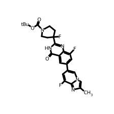 Cc1cn2cc(-c3cc(F)c4nc(C5(F)CCN(C(=O)OC(C)(C)C)CC5)[nH]c(=O)c4c3)cc(F)c2n1